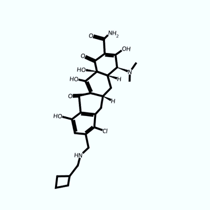 CN(C)[C@@H]1C(O)=C(C(N)=O)C(=O)[C@@]2(O)C(O)=C3C(=O)c4c(O)cc(CNCC5CCC5)c(Cl)c4C[C@H]3C[C@@H]12